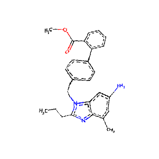 CCCc1nc2c(C)cc(N)cc2n1Cc1ccc(-c2ccccc2C(=O)OC)cc1